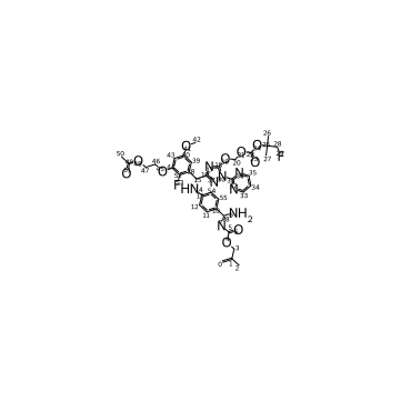 C=C(C)COC(=O)/N=C(\N)c1ccc(N[C@@H](c2nc(OCOC(=O)OC(C)(C)CF)n(-c3ncccn3)n2)c2cc(OC)cc(OCCOC(C)=O)c2F)cc1